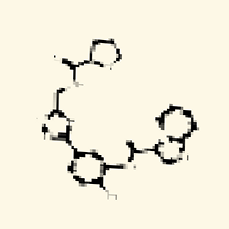 Cc1ccc(-c2noc(CNC(=O)C3CCCO3)n2)cc1NC(=O)c1cnc2ccccn12